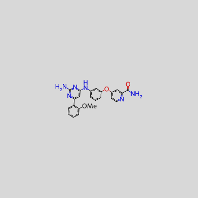 COc1ccccc1-c1cc(Nc2cccc(Oc3ccnc(C(N)=O)c3)c2)nc(N)n1